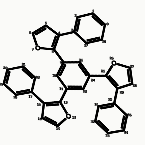 c1ccc(-c2ccoc2-c2cc(-c3occc3-c3ccccc3)cc(-c3occc3-c3ccccc3)c2)cc1